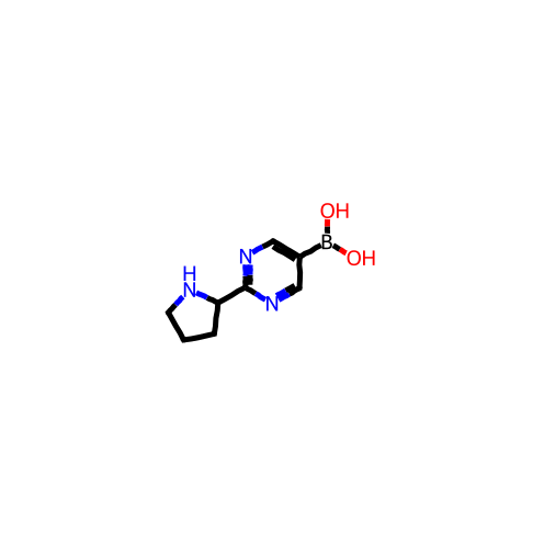 OB(O)c1cnc(C2CCCN2)nc1